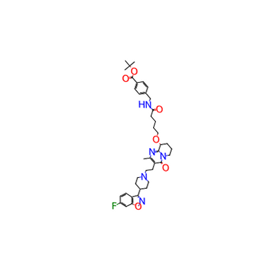 Cc1nc2n(c(=O)c1CCN1CCC(c3noc4cc(F)ccc34)CC1)CCCC2OCCCCC(=O)NCc1ccc(C(=O)OC(C)(C)C)cc1